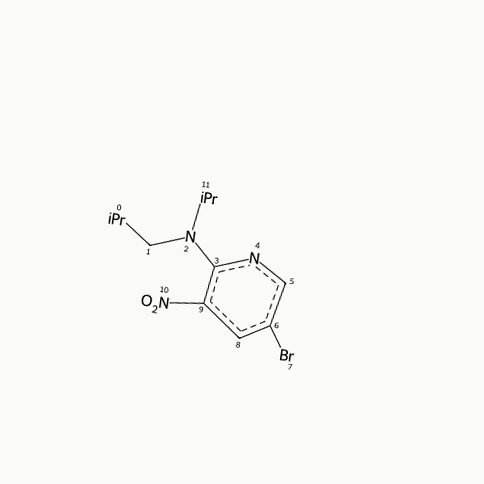 CC(C)CN(c1ncc(Br)cc1[N+](=O)[O-])C(C)C